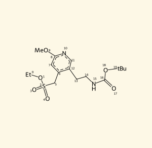 CCOS(=O)(=O)Cc1cc(OC)ncc1CCNC(=O)OC(C)(C)C